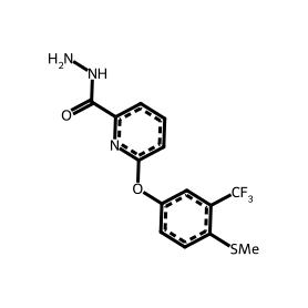 CSc1ccc(Oc2cccc(C(=O)NN)n2)cc1C(F)(F)F